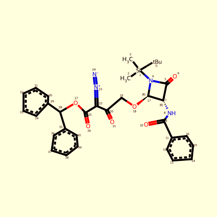 CC(C)(C)[Si](C)(C)N1C(=O)[C@H](NC(=O)c2ccccc2)[C@H]1OCC(=O)C(=[N+]=[N-])C(=O)OC(c1ccccc1)c1ccccc1